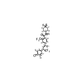 Cc1cc(C(/C=C(\F)c2ccc(C(=O)NC3CCC(F)(F)CC3)c(C(F)(F)F)c2)C(F)(F)F)cc(C)c1Cl